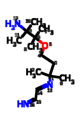 CC(C)(CCOC(C)(C)C(C)(C)N)/N=C/C=N